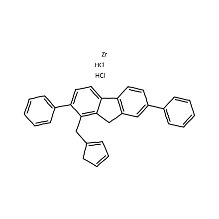 C1=CCC(Cc2c(-c3ccccc3)ccc3c2Cc2cc(-c4ccccc4)ccc2-3)=C1.Cl.Cl.[Zr]